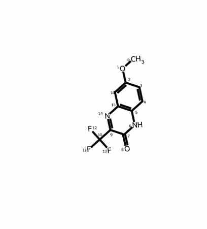 COc1ccc2[nH]c(=O)c(C(F)(F)F)nc2c1